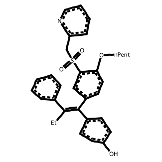 CCCCCOc1ccc(C(=C(CC)c2ccccc2)c2ccc(O)cc2)cc1S(=O)(=O)Cc1ccccn1